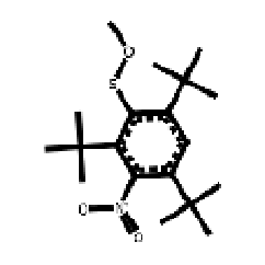 COSc1c(C(C)(C)C)cc(C(C)(C)C)c([N+](=O)[O-])c1C(C)(C)C